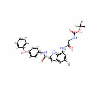 CC(C)(C)OC(=O)NCC(=O)Nc1cc(Cl)cc2cc(C(=O)Nc3ccc(Oc4ccccc4)cc3)[nH]c12